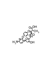 CC(C(=O)O)N(Oc1ccccc1)[PH](=O)OC[C@@H]1O[C@H](n2ccc(N)nc2=O)C[C@H]1O